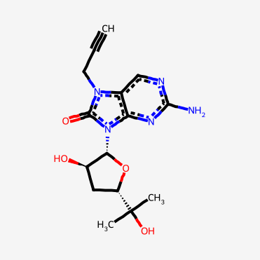 C#CCn1c(=O)n([C@@H]2O[C@H](C(C)(C)O)C[C@H]2O)c2nc(N)ncc21